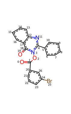 O=C(On1c(-c2ccccc2)nc2ccccc2c1=O)c1cccc(Br)c1